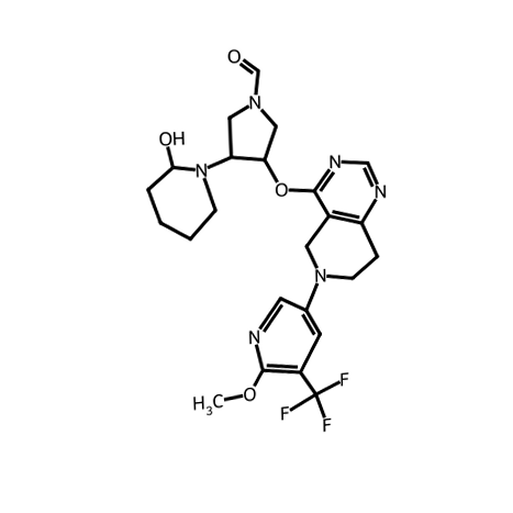 COc1ncc(N2CCc3ncnc(OC4CN(C=O)CC4N4CCCCC4O)c3C2)cc1C(F)(F)F